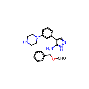 Nc1[nH]ncc1-c1cccc(N2CCNCC2)c1.O=COCc1ccccc1